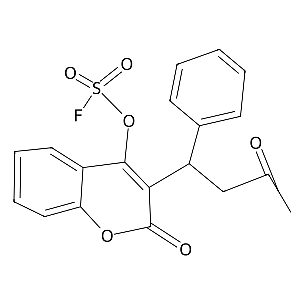 CC(=O)CC(c1ccccc1)c1c(OS(=O)(=O)F)c2ccccc2oc1=O